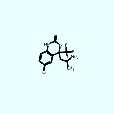 CC(N)CC1(C(F)(F)F)OC(=O)Nc2ccc(Cl)cc21